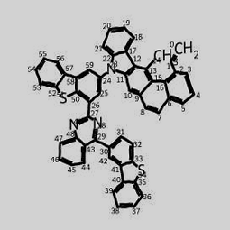 C=Cc1cccc2ccc3cc4c(c(C)c3c12)c1ccccc1n4-c1cc(-c2nc(-c3ccc4sc5ccccc5c4c3)c3ccccc3n2)c2sc3ccccc3c2c1